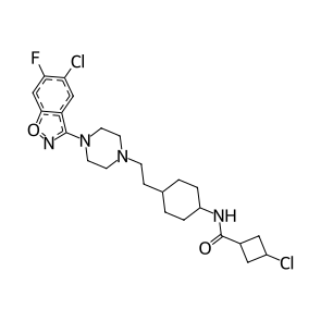 O=C(NC1CCC(CCN2CCN(c3noc4cc(F)c(Cl)cc34)CC2)CC1)C1CC(Cl)C1